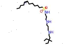 CCCC/C=C\CCCCCCS(=O)(=O)NCCCNCCCNCCC(C)(CC)CC